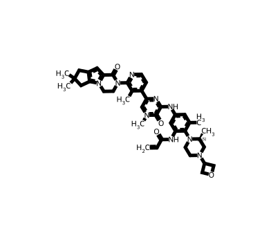 C=CC(=O)Nc1cc(Nc2nc(-c3ccnc(N4CCn5c(cc6c5CC(C)(C)C6)C4=O)c3C)cn(C)c2=O)cc(C)c1N1CCN(C2COC2)C[C@@H]1C